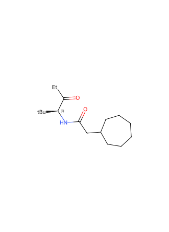 CCC(=O)[C@@H](NC(=O)CC1CCCCCC1)C(C)(C)C